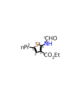 CCCc1cc(C(=O)OCC)c(NC=O)s1